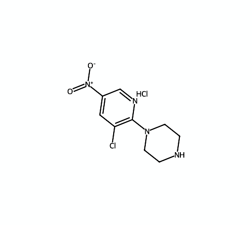 Cl.O=[N+]([O-])c1cnc(N2CCNCC2)c(Cl)c1